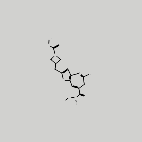 CCON(C(=O)C1=Cc2sc(CC3CN(C(=O)OC(C)(C)C)C3)cc2N=C(N)C1)C(C)CC